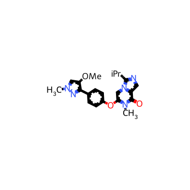 COc1cn(C)nc1-c1ccc(Oc2cn3c(C(C)C)ncc3c(=O)n2C)cc1